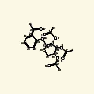 CC(=O)O[C@@H]1[C@@H](OC(C)=O)[C@H](OC(C)=O)CS[C@H]1Oc1ccccc1C(C)=O